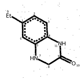 CCc1ccc2c(c1)NCC(=O)N2